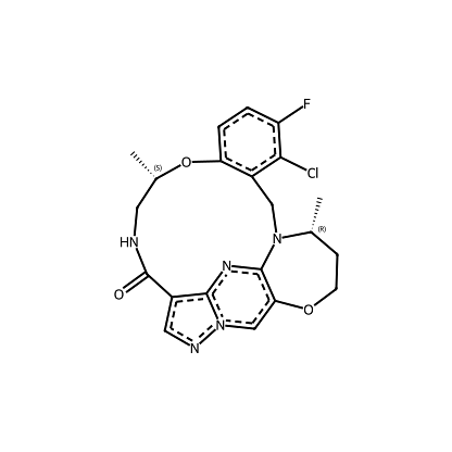 C[C@@H]1CCOc2cn3ncc4c3nc2N1Cc1c(ccc(F)c1Cl)O[C@@H](C)CNC4=O